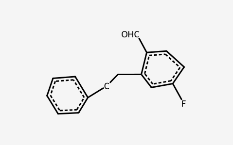 O=Cc1ccc(F)cc1CCc1ccccc1